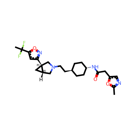 Cc1ncc(CC(=O)N[C@H]2CC[C@H](CCN3C[C@@H]4C[C@]4(c4cc(C(C)(F)F)on4)C3)CC2)o1